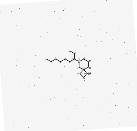 CCCCCCC(CC)N1CCCC2(CCN2)C1